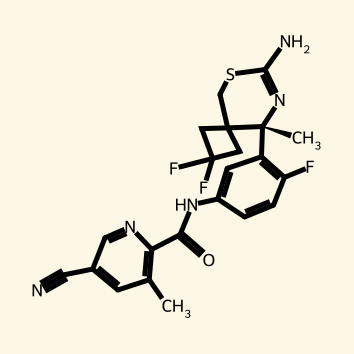 Cc1cc(C#N)cnc1C(=O)Nc1ccc(F)c([C@@]2(C)N=C(N)SCC23CC(F)(F)C3)c1